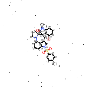 Cc1ccc(S(=O)(=O)n2cc3c4c(cccc42)N2CCCC2C2(C3)C(=O)N(C)c3cccc(Br)c32)cc1